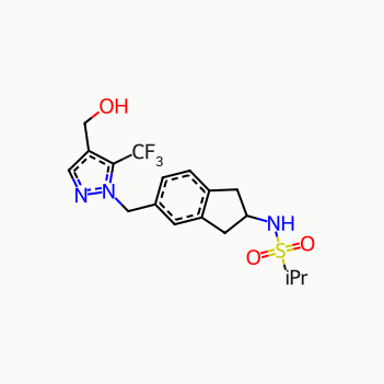 CC(C)S(=O)(=O)NC1Cc2ccc(Cn3ncc(CO)c3C(F)(F)F)cc2C1